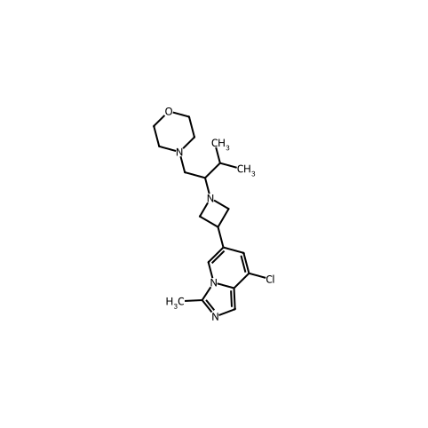 Cc1ncc2c(Cl)cc(C3CN(C(CN4CCOCC4)C(C)C)C3)cn12